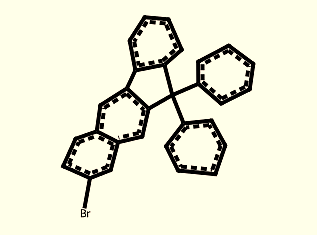 Brc1ccc2cc3c(cc2c1)C(c1ccccc1)(c1ccccc1)c1ccccc1-3